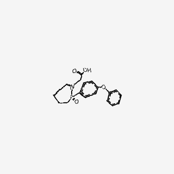 O=C(O)CN1CCCCCP1(=O)c1ccc(Oc2ccccc2)cc1